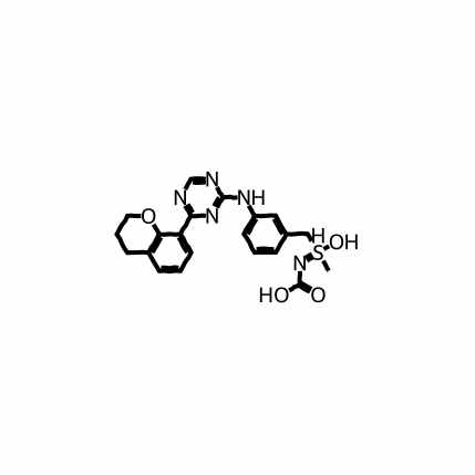 C[SH](O)(Cc1cccc(Nc2ncnc(-c3cccc4c3OCCC4)n2)c1)=NC(=O)O